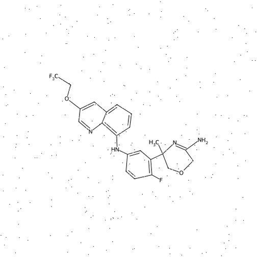 CC1(c2cc(Nc3cccc4cc(OCC(F)(F)F)cnc34)ccc2F)COCC(N)=N1